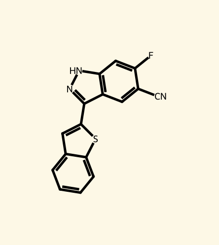 N#Cc1cc2c(-c3cc4ccccc4s3)n[nH]c2cc1F